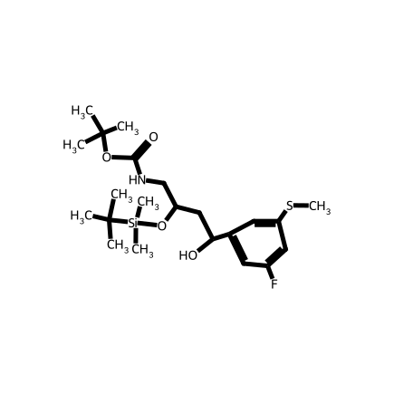 CSc1cc(F)cc(C(O)CC(CNC(=O)OC(C)(C)C)O[Si](C)(C)C(C)(C)C)c1